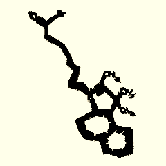 CC1=[N+](CCCCCC(=O)Br)c2ccc3ccccc3c2C1(C)C